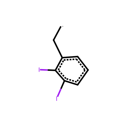 [CH2]Cc1cccc(I)c1I